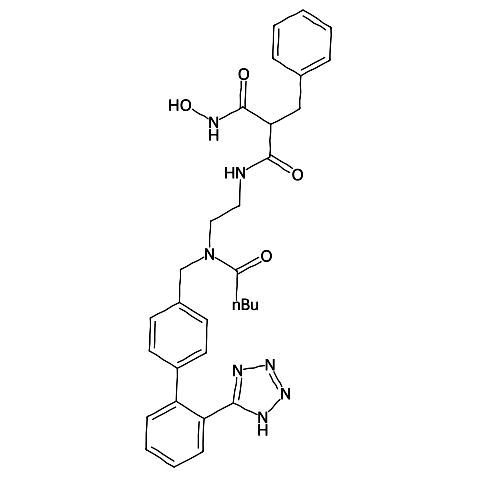 CCCCC(=O)N(CCNC(=O)C(Cc1ccccc1)C(=O)NO)Cc1ccc(-c2ccccc2-c2nnn[nH]2)cc1